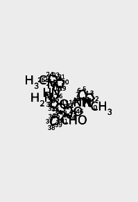 Cc1ccc2cccc(NCc3c4oc5c(CNc6cccc7ccc(C)nc67)c(N)ccc5c(-c5ccccc5C=O)c-4ccc3=O)c2n1